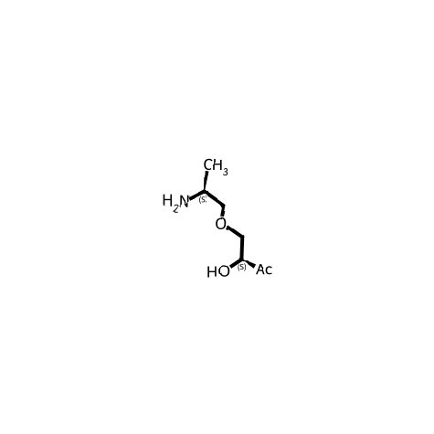 CC(=O)[C@@H](O)COC[C@H](C)N